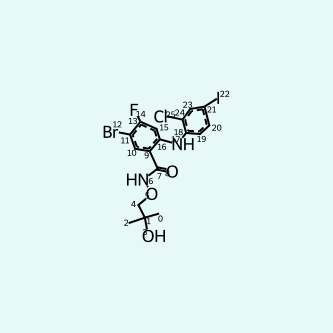 CC(C)(O)CONC(=O)c1cc(Br)c(F)cc1Nc1ccc(I)cc1Cl